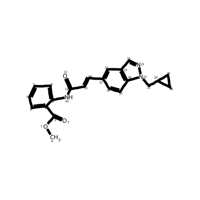 COC(=O)c1ccccc1NC(=O)/C=C/c1ccc2c(cnn2CC2CC2)c1